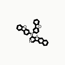 c1ccc2cc3c(cc2c1)sc1c(N(c2ccc4c(c2)oc2ccccc24)c2ccc4oc5ccccc5c4c2)cncc13